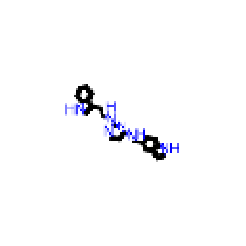 c1ccc2c(CCNc3nccc(NCc4ccc5[nH]ccc5c4)n3)c[nH]c2c1